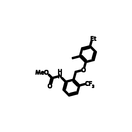 CCc1ccc(OCc2c(NC(=O)OC)cccc2C(F)(F)F)c(C)c1